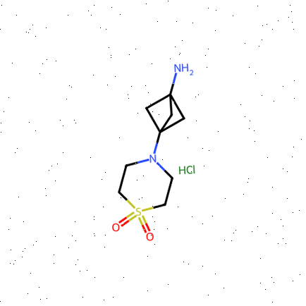 Cl.NC12CC(N3CCS(=O)(=O)CC3)(C1)C2